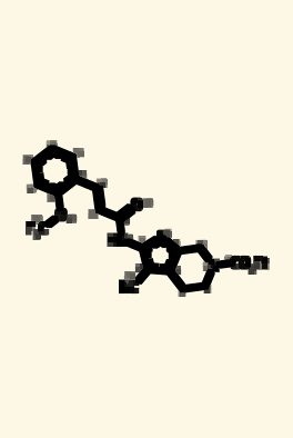 CCOC(=O)N1CCc2c(sc(NC(=O)C=Cc3ccccc3OC(F)(F)F)c2C#N)C1